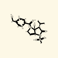 CC(C)[C@H]1C(=O)N(S(C)(=O)=O)C2=CCN(C(=O)c3cnc(CCl)cn3)[C@@H]21